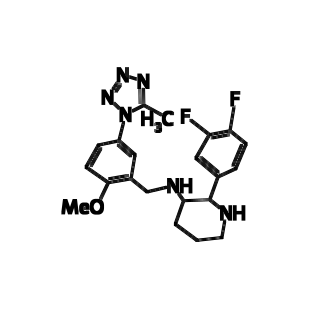 COc1ccc(-n2nnnc2C)cc1CNC1CCCNC1c1ccc(F)c(F)c1